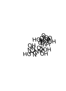 CCCC(OP(=O)(O)OP(=O)(O)OP(=O)(O)O)[C@H]1O[C@@H](n2cnc3c(O)nc(O)nc32)[C@H](O)[C@@H]1O